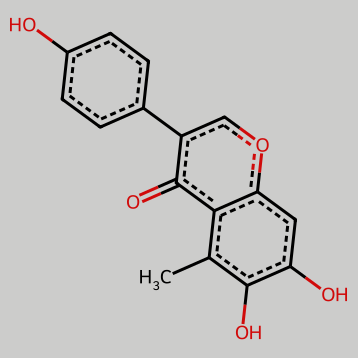 Cc1c(O)c(O)cc2occ(-c3ccc(O)cc3)c(=O)c12